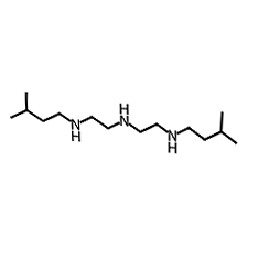 CC(C)CCNCCNCCNCCC(C)C